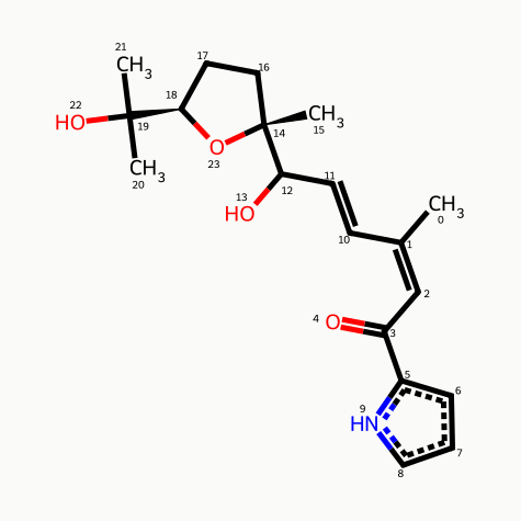 CC(=C/C(=O)c1ccc[nH]1)/C=C/C(O)[C@@]1(C)CC[C@H](C(C)(C)O)O1